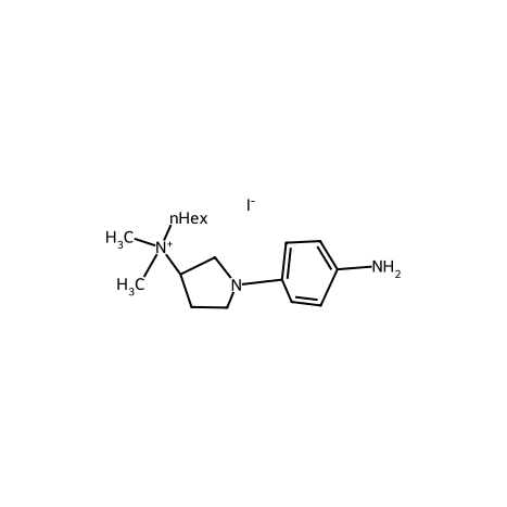 CCCCCC[N+](C)(C)C1CCN(c2ccc(N)cc2)C1.[I-]